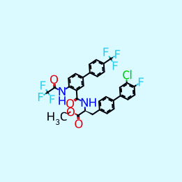 COC(=O)[C@H](Cc1ccc(-c2ccc(F)c(Cl)c2)cc1)NC(=O)c1cc(-c2ccc(C(F)(F)F)cc2)ccc1NC(=O)C(F)(F)F